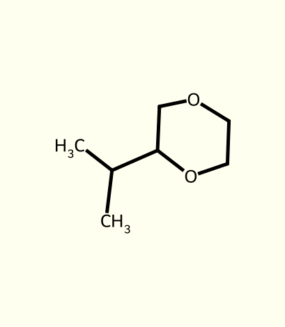 CC(C)C1COCCO1